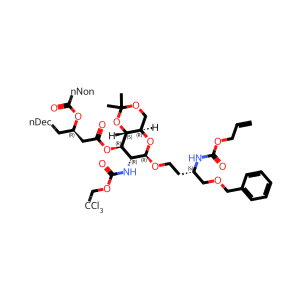 C=CCOC(=O)N[C@@H](CCO[C@@H]1O[C@@H]2COC(C)(C)O[C@H]2[C@H](OC(=O)C[C@@H](CCCCCCCCCCC)OC(=O)CCCCCCCCC)[C@H]1NC(=O)OCC(Cl)(Cl)Cl)COCc1ccccc1